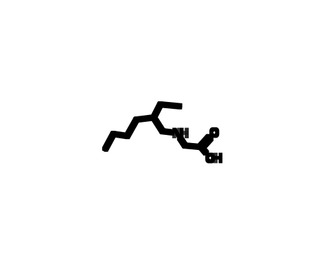 CCCCC(CC)CNCC(=O)O